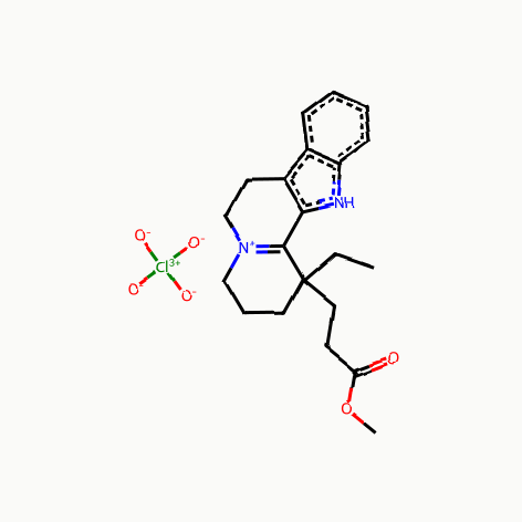 CCC1(CCC(=O)OC)CCC[N+]2=C1c1[nH]c3ccccc3c1CC2.[O-][Cl+3]([O-])([O-])[O-]